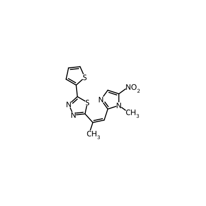 CC(=Cc1ncc([N+](=O)[O-])n1C)c1nnc(-c2cccs2)s1